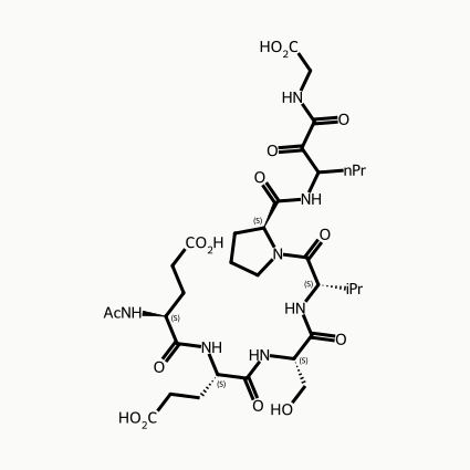 CCCC(NC(=O)[C@@H]1CCCN1C(=O)[C@@H](NC(=O)[C@H](CO)NC(=O)[C@H](CCC(=O)O)NC(=O)[C@H](CCC(=O)O)NC(C)=O)C(C)C)C(=O)C(=O)NCC(=O)O